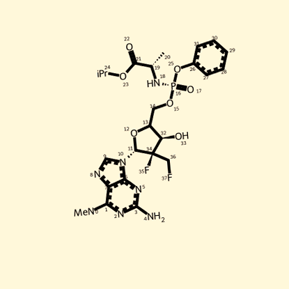 CNc1nc(N)nc2c1ncn2[C@@H]1OC(CO[P@@](=O)(N[C@@H](C)C(=O)OC(C)C)Oc2ccccc2)[C@@H](O)[C@]1(F)CF